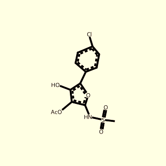 CC(=O)Oc1c(NS(C)(=O)=O)oc(-c2ccc(Cl)cc2)c1O